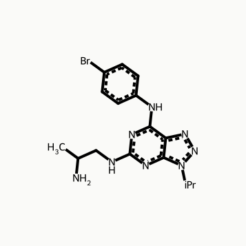 CC(N)CNc1nc(Nc2ccc(Br)cc2)c2nnn(C(C)C)c2n1